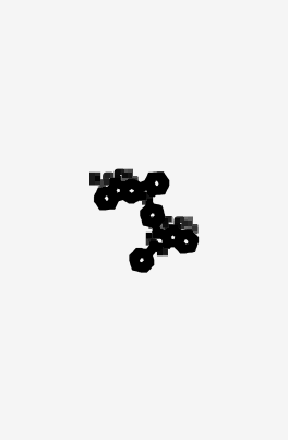 CC1(C)c2ccccc2-c2cc3c(cc21)c1ccccc1n3-c1ccc(-c2nc(-c3ccccc3)nc3c2C(C)(C)c2ccccc2-3)cc1